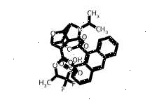 CC(C)N1C(=O)C2C3OC(C(OC(=O)c4c5ccccc5cc5ccccc45)C31)C2C(=O)OC(C)C(F)(F)S(=O)(=O)O